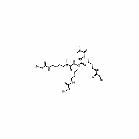 CN(C)C(=O)[C@H](CCCCNC(=O)OC(C)(C)C)NC(=O)[C@H](CCCCNC(=O)OC(C)(C)C)NC(=O)[C@@H](N)CCCCNC(=O)OC(C)(C)C